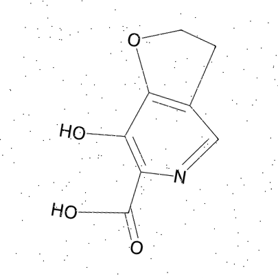 O=C(O)c1ncc2c(c1O)OCC2